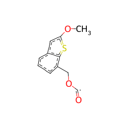 COc1cc2cccc(CO[C]=O)c2s1